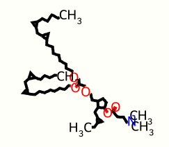 CCCCCC1CC1CC1CC1CCCCCCCCOCC(COCCC1CCC(OC(=O)CCCN(C)C)C1CC1CC1CC)OCCCCCCCCC1CC1CC1CC1CCCCC